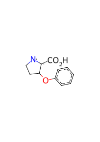 O=C(O)[C]1[N]CCC1Oc1ccccc1